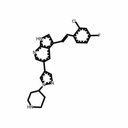 Fc1ccc(/C=C/c2c[nH]c3ncc(-c4cnn(C5CCNCC5)c4)cc23)c(Cl)c1